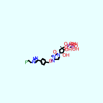 Cn1c(=O)n(C2C[C@](C)(COP(=O)(O)CP(=O)(O)O)C(O)C2O)cc/c1=N/OCc1ccc(-c2cn(CCF)nn2)cc1